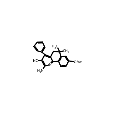 COc1ccc2c(c1)C(C)(C)Cc1c-2nc(N)c(C#N)c1-c1ccccc1